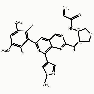 C=CC(=O)N[C@H]1COC[C@H]1Nc1ncc2cc(-c3c(F)c(OC)cc(OC)c3F)nc(-c3cnn(C)c3)c2n1